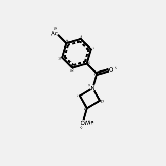 COC1CN(C(=O)c2ccc(C(C)=O)cc2)C1